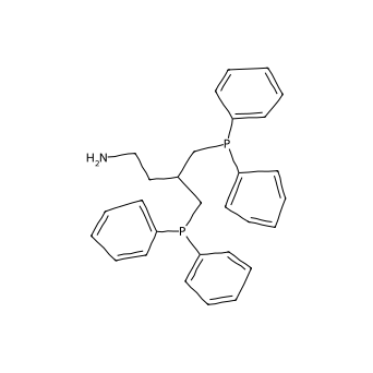 NCCC(CP(c1ccccc1)c1ccccc1)CP(c1ccccc1)c1ccccc1